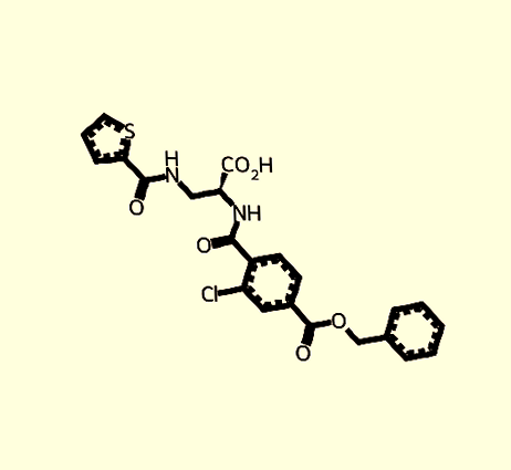 O=C(OCc1ccccc1)c1ccc(C(=O)N[C@@H](CNC(=O)c2cccs2)C(=O)O)c(Cl)c1